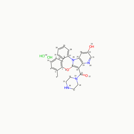 Cc1cccc(C)c1Oc1c(C(=O)N2CCNCC2)c2ncc(O)cc2n1-c1ccccc1.Cl.Cl